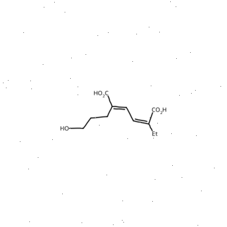 CCC(=CC=C(CCCO)C(=O)O)C(=O)O